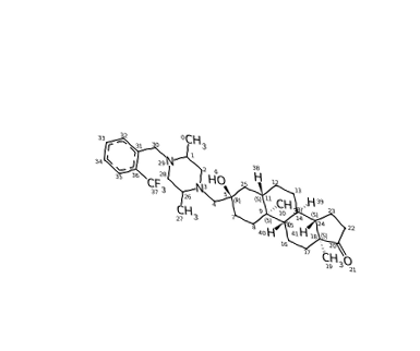 CC1CN(C[C@@]2(O)CC[C@@]3(C)[C@@H](CC[C@@H]4[C@@H]3CC[C@]3(C)C(=O)CC[C@@H]43)C2)C(C)CN1Cc1ccccc1C(F)(F)F